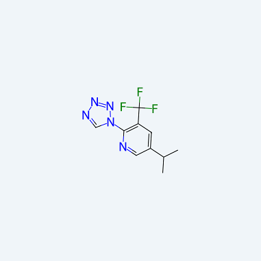 CC(C)c1cnc(-n2cnnn2)c(C(F)(F)F)c1